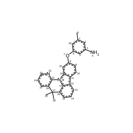 Cc1cc(N)cc(Oc2ccc3c4cccc5c4n(c3c2)-c2ncccc2C5(C)C)c1